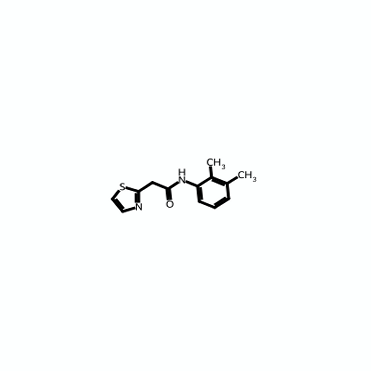 Cc1cccc(NC(=O)Cc2nccs2)c1C